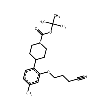 Cc1ccc(C2CCN(C(=O)OC(C)(C)C)CC2)c(OCCCC#N)c1